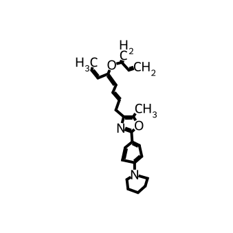 C=CC(=C)OC(/C=C\C)=C/C=C/Cc1nc(-c2ccc(N3CCCCC3)cc2)oc1C